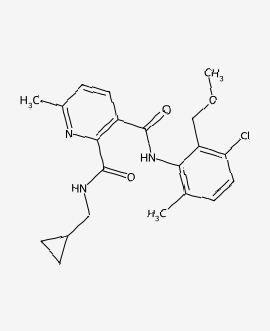 COCc1c(Cl)ccc(C)c1NC(=O)c1ccc(C)nc1C(=O)NCC1CC1